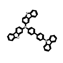 c1ccc2c(c1)oc1cc(N(c3ccc(-c4ccc(-n5c6ccccc6c6ccccc65)cc4)cc3)c3ccc4sc5ccccc5c4c3)ccc12